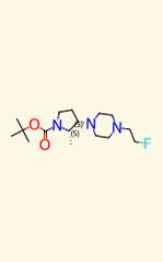 C[C@H]1[C@@H](N2CCN(CCF)CC2)CCN1C(=O)OC(C)(C)C